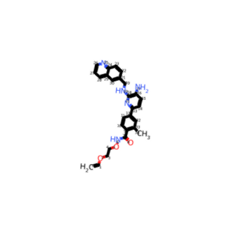 C=COCCONC(=O)c1ccc(-c2ccc(N)c(NCc3ccc4ncccc4c3)n2)cc1C